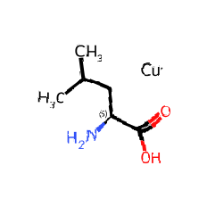 CC(C)C[C@H](N)C(=O)O.[Cu]